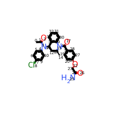 CC(=O)N(c1ccc(Cl)cc1)[C@@H]1C[C@H](C)N(C(=O)c2ccc(OCC(N)=O)cc2)c2ccccc21